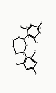 Cc1cc(C)c(N2CCCCN(c3c(C)cc(C)cc3C)C2)c(C)c1